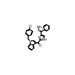 NN=C(c1ccccc1)c1c[nH]c(C(=O)c2cn(Cc3ccc(Cl)cc3)c3ccccc23)n1